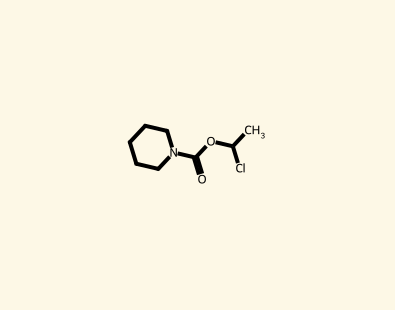 CC(Cl)OC(=O)N1CCCCC1